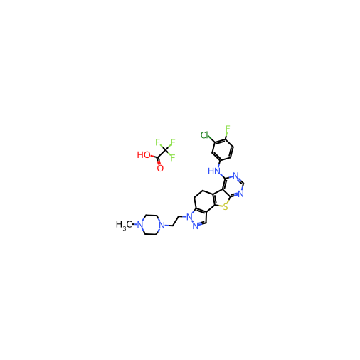 CN1CCN(CCn2ncc3c2CCc2c-3sc3ncnc(Nc4ccc(F)c(Cl)c4)c23)CC1.O=C(O)C(F)(F)F